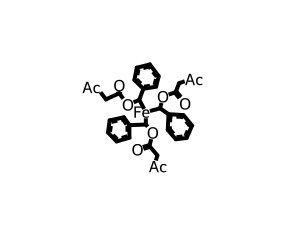 CC(=O)CC(=O)O[CH](c1ccccc1)[Fe]([CH](OC(=O)CC(C)=O)c1ccccc1)[CH](OC(=O)CC(C)=O)c1ccccc1